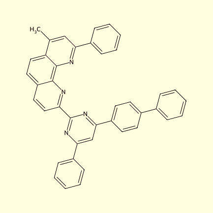 Cc1cc(-c2ccccc2)nc2c1ccc1ccc(-c3nc(-c4ccccc4)cc(-c4ccc(-c5ccccc5)cc4)n3)nc12